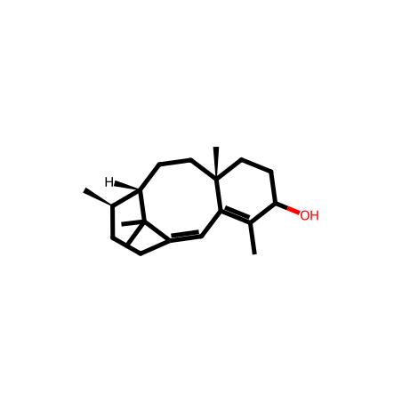 CC1=C2/C=C3/CC[C@@H](C)[C@H](CC[C@]2(C)CCC1O)C3(C)C